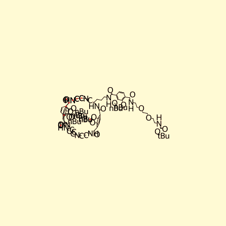 CCCCOc1c(C(=O)NCCCC2CN3CCNC(=O)c4ccc(c(OCCCC)c4OCCCC)C(=O)NCCN(CCNC(=O)c4ccc(c(OCCCC)c4OCCCC)C(=O)NCC3)CCNC(=O)c3ccc(c(OCCCC)c3OCCCC)C(=O)N2)ccc(C(=O)NCCOCCOCCNC(=O)OC(C)(C)C)c1OCCCC